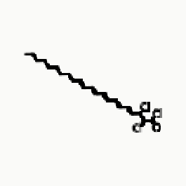 CCCCCCCCCC=CC=CC=CC=CC=CC(Cl)C(Cl)C(=O)Cl